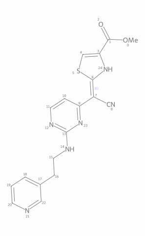 COC(=O)C1=CS/C(=C(/C#N)c2ccnc(NCCc3cccnc3)n2)N1